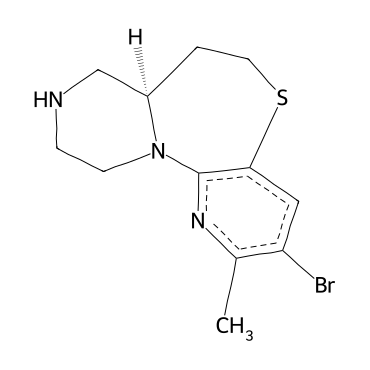 Cc1nc2c(cc1Br)SCC[C@@H]1CNCCN21